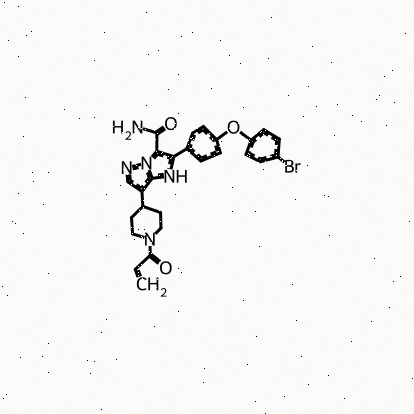 C=CC(=O)N1CCC(c2cnn3c(C(N)=O)c(-c4ccc(Oc5ccc(Br)cc5)cc4)[nH]c23)CC1